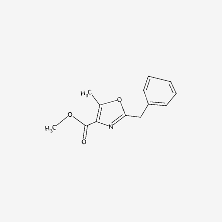 COC(=O)c1nc(Cc2ccccc2)oc1C